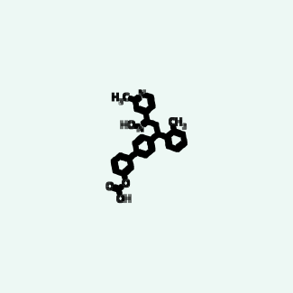 Cc1cc(C(CC(c2ccc(-c3cccc(OC(=O)O)c3)cc2)c2ccccc2C)=NO)ccn1